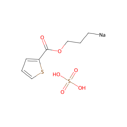 O=C(OCC[CH2][Na])c1cccs1.O=S(=O)(O)O